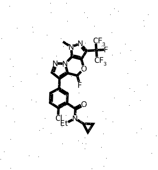 CCN(C(=O)c1cc(-c2cnn3c2C(F)Oc2c(C(F)(C(F)(F)F)C(F)(F)F)nn(C)c2-3)ccc1Cl)C1CC1